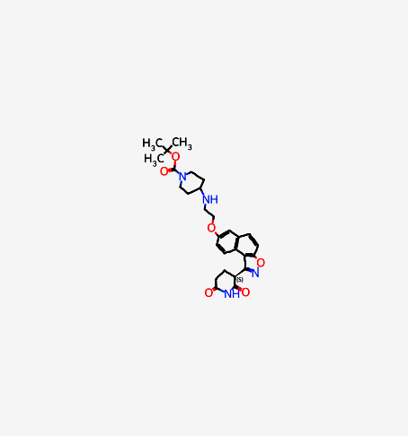 CC(C)(C)OC(=O)N1CCC(NCCOc2ccc3c(ccc4onc([C@@H]5CCC(=O)NC5=O)c43)c2)CC1